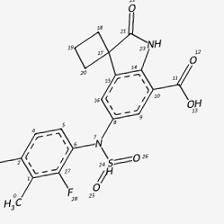 Cc1c(F)ccc(N(c2cc(C(=O)O)c3c(c2)C2(CCC2)C(=O)N3)[SH](=O)=O)c1F